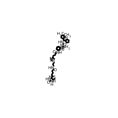 CC1(C)CCc2c1nc1c(c2NC(=O)N=S(N)(=O)c2cccc(NC(=O)CCc3cn(CCCNC(=O)CCCC4SC[C@@H]5NC(=O)N[C@H]45)nn3)c2)CCC1